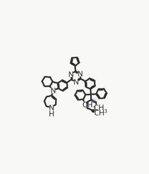 C#C/C=C\C(=C/C)C(c1ccccc1)(c1cccc(-c2nc(C3=C=CC=C3)nc(-c3ccc4c(c3)C3CCCCC3N4C3=CCNCCC3)n2)c1)C1C=CC=CC1C